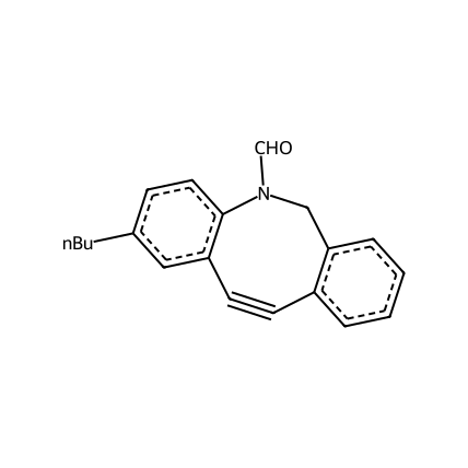 CCCCc1ccc2c(c1)C#Cc1ccccc1CN2C=O